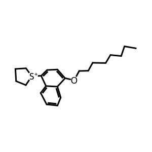 CCCCCCCCOc1ccc([S+]2CCCC2)c2ccccc12